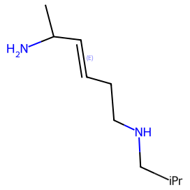 CC(N)/C=C/CCNCC(C)C